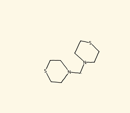 [CH](N1CCSCC1)N1CCSCC1